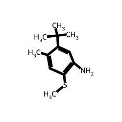 CSc1cc(C)c(C(C)(C)C)cc1N